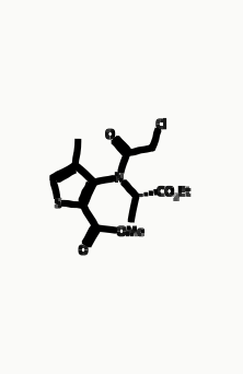 CCOC(=O)[C@H](C)N(C(=O)CCl)c1c(C)csc1C(=O)OC